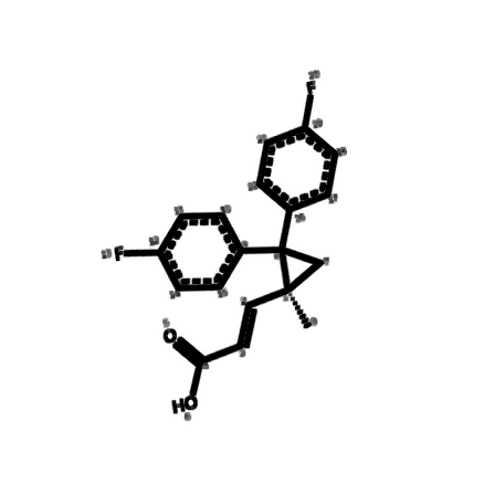 C[C@@]1(/C=C/C(=O)O)CC1(c1ccc(F)cc1)c1ccc(F)cc1